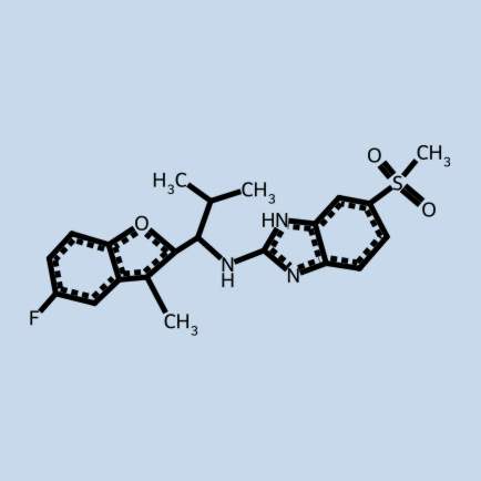 Cc1c(C(Nc2nc3ccc(S(C)(=O)=O)cc3[nH]2)C(C)C)oc2ccc(F)cc12